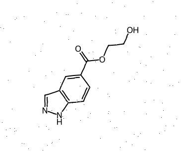 O=C(OCCO)c1ccc2[nH]ncc2c1